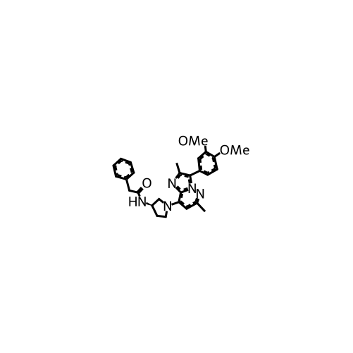 COc1ccc(-c2c(C)nc3c(N4CC[C@@H](NC(=O)Cc5ccccc5)C4)cc(C)nn23)cc1OC